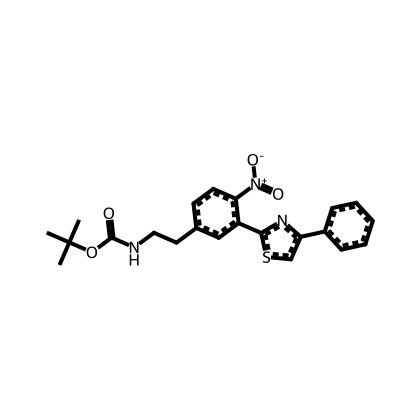 CC(C)(C)OC(=O)NCCc1ccc([N+](=O)[O-])c(-c2nc(-c3ccccc3)cs2)c1